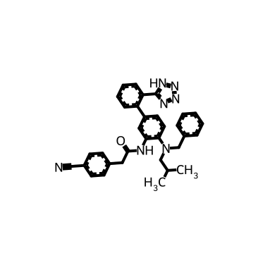 CC(C)CN(Cc1ccccc1)c1ccc(-c2ccccc2-c2nnn[nH]2)cc1NC(=O)Cc1ccc(C#N)cc1